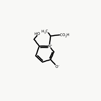 CC(C(=O)O)[n+]1cc([O-])ccc1CO